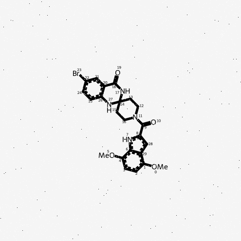 COc1ccc(OC)c2[nH]c(C(=O)N3CCC4(CC3)NC(=O)c3cc(Br)ccc3N4)cc12